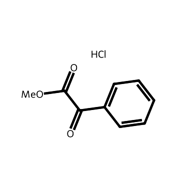 COC(=O)C(=O)c1ccccc1.Cl